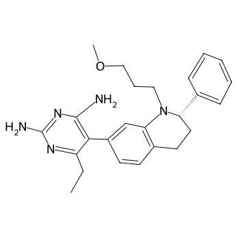 CCc1nc(N)nc(N)c1-c1ccc2c(c1)N(CCCOC)[C@H](c1ccccc1)CC2